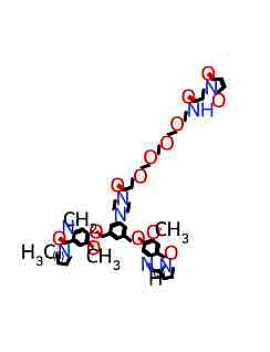 C=Nc1cc(OCc2cc(COc3cc4c(cc3OC)C(=O)N3CCC[C@H]3C=N4)cc(N3CCN(C(=O)CCOCCOCCOCCOCCNC(=O)CCN4C(=O)C=CC4=O)CC3)c2)c(OC)cc1C(=O)N1CCC[C@H]1C